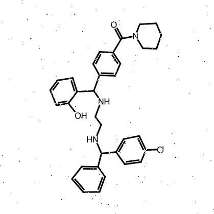 O=C(c1ccc(C(NCCNC(c2ccccc2)c2ccc(Cl)cc2)c2ccccc2O)cc1)N1CCCCC1